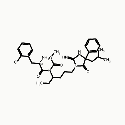 CCC(CCCN1C(=N)NC(CC(C)C)(c2ccccc2)C1=O)N(C(=O)OC)C(=O)[C@@H](N)Cc1ccccc1Cl